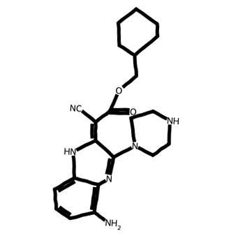 N#C/C(C(=O)OCC1CCCCC1)=C1\Nc2cccc(N)c2N=C1N1CCNCC1